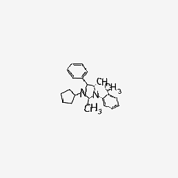 Cc1ccccc1N1C(C)N(C2CCCC2)C(c2ccccc2)[C@@H]1C